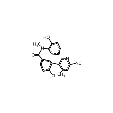 [C-]#[N+]c1cc(C)c(-c2cc(C(=O)N(C)c3ccccc3O)ccc2Cl)cn1